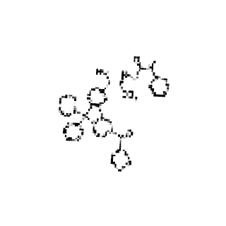 CN(C(=O)O/N=C(/C(O)c1ccc2c(c1)-c1cc(C(=O)c3ccccc3)ccc1C2(c1ccccc1)c1ccccc1)C(Cl)(Cl)Cl)c1ccccc1